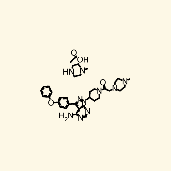 CC(=O)O.CN1CCN(CC(=O)N2CCC(n3nc(-c4ccc(Oc5ccccc5)cc4)c4c(N)ncnc43)CC2)CC1.CN1CCNCC1